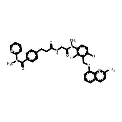 Cc1ccc2cccc(OCc3c(Cl)ccc(N(C)C(=O)CNC(=O)CCc4ccc(C(=O)N(C)c5ccccn5)cc4)c3Cl)c2n1